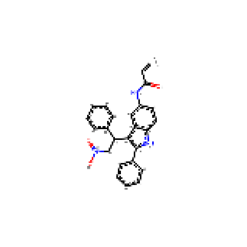 C=CC(=O)Nc1ccc2[nH]c(-c3ccccc3)c(C(C[N+](=O)[O-])c3ccccc3)c2c1